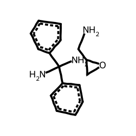 NC(N)(c1ccccc1)c1ccccc1.NCC1CO1